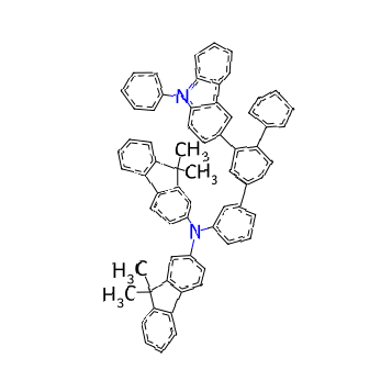 CC1(C)c2ccccc2-c2ccc(N(c3cccc(-c4ccc(-c5ccccc5)c(-c5ccc6c(c5)c5ccccc5n6-c5ccccc5)c4)c3)c3ccc4c(c3)C(C)(C)c3ccccc3-4)cc21